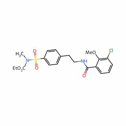 CCOC(=O)N(C)S(=O)(=O)c1ccc(CCNC(=O)c2cccc(Cl)c2OC)cc1